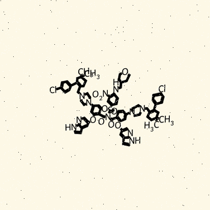 CC1(C)CCC(CN2CCN(c3ccc(C(=O)N(C(=O)c4ccc(N5CCN(CC6=C(c7ccc(Cl)cc7)CC(C)(C)CC6)CC5)cc4Oc4cnc5[nH]ccc5c4)S(=O)(=O)c4ccc(NCC5CCOCC5)c([N+](=O)[O-])c4)c(Oc4cnc5[nH]ccc5c4)c3)CC2)=C(c2ccc(Cl)cc2)C1